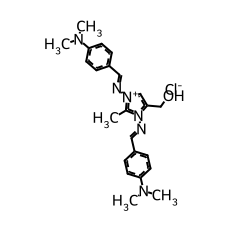 Cc1n(/N=C/c2ccc(N(C)C)cc2)c(CO)c[n+]1/N=C/c1ccc(N(C)C)cc1.[Cl-]